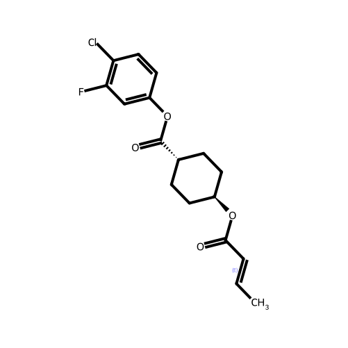 C/C=C/C(=O)O[C@H]1CC[C@H](C(=O)Oc2ccc(Cl)c(F)c2)CC1